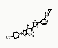 CC[C@H]1CC[C@@H](n2cc(NC(=O)c3coc(-c4ccnc(NCC5CC5)c4)n3)c(C(F)(F)F)n2)CC1